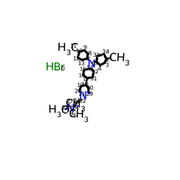 Br.Cc1ccc(N(c2ccc(C)cc2)c2ccc(-c3cc[n+](CCC[N+](C)(C)C)cc3)cc2)cc1